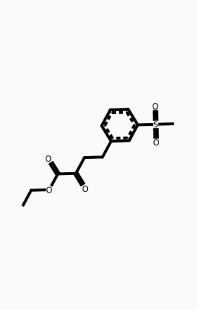 CCOC(=O)C(=O)CCc1cccc(S(C)(=O)=O)c1